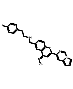 ON=c1cc(-c2cc3cccn3cn2)oc2ccc(CNCCc3ccc(F)cc3)cc12